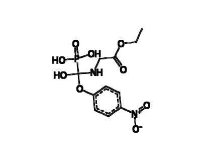 CCOC(=O)CNC(O)(Oc1ccc([N+](=O)[O-])cc1)P(=O)(O)O